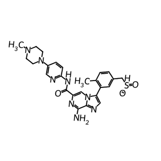 Cc1ccc(C[SH](=O)=O)cc1-c1cnc2c(N)nc(C(=O)Nc3ccc(N4CCN(C)CC4)cn3)cn12